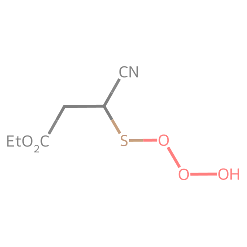 CCOC(=O)CC(C#N)SOOO